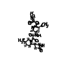 Cc1cc(NC(=O)C(=O)N2CC(C)CCC2C2CNC(=O)C2)cnc1OC(N)=O